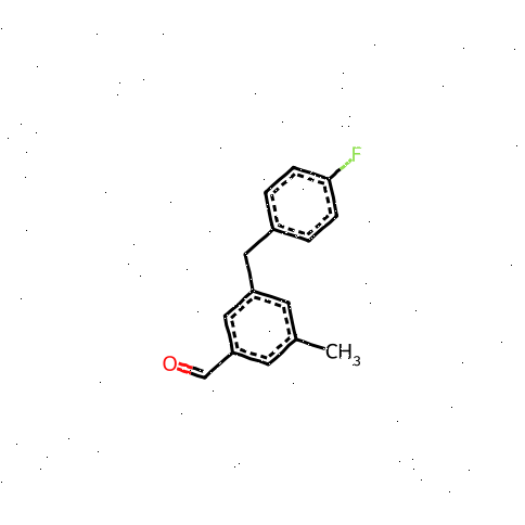 Cc1cc(C=O)cc(Cc2ccc(F)cc2)c1